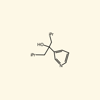 CC(C)CC(O)(CC(C)C)c1cccnc1